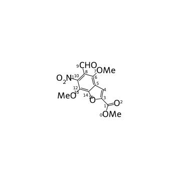 COC(=O)c1cc2c(OC)c(C=O)c([N+](=O)[O-])c(OC)c2o1